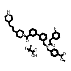 COC(=O)c1ccc(CN(Cc2cccc(-c3cccc(C(=O)N4CCC(CCCC5CCNCC5)CC4)c3)c2)C(=O)Cc2cccc(F)c2)cc1.O=C(O)C(F)(F)F